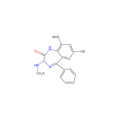 COc1cc(C#N)cc2c1NC(=O)C(NC(=O)O)N=C2c1ccccc1